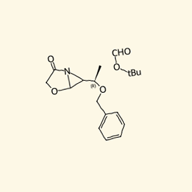 CC(C)(C)OC=O.C[C@@H](OCc1ccccc1)C1C2OCC(=O)N21